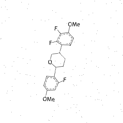 COc1ccc(C2CCC(c3ccc(OC)c(F)c3F)CO2)c(F)c1